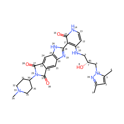 Cc1cc(C)n(C[C@H](O)CNc2cc[nH]c(=O)c2-c2nc3cc4c(cc3[nH]2)C(=O)N(C2CCN(C)CC2)C4=O)n1